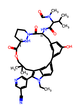 CCn1c(-c2cncc(C#N)c2)c2c3cc(ccc31)-c1cc(O)cc(c1)C[C@H](NC(=O)C(C(C)C)N(C)C=O)C(=O)N1CCC[C@H](N1)C(=O)OCC(C)(C)C2